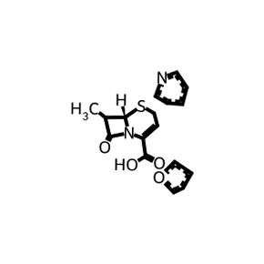 CC1C(=O)N2C(C(=O)O)=CCS[C@@H]12.c1ccncc1.c1ccoc1